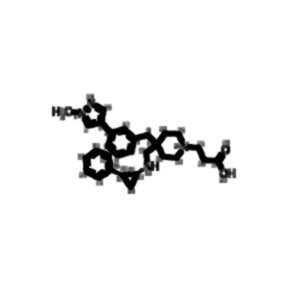 Cn1cc(-c2cccc(CC3(CN[C@@H]4C[C@H]4c4ccccc4)CCN(CCC(=O)O)CC3)c2)cn1